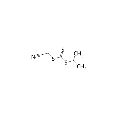 CC(C)SC(=S)SCC#N